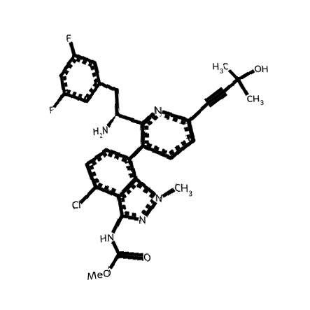 COC(=O)Nc1nn(C)c2c(-c3ccc(C#CC(C)(C)O)nc3[C@@H](N)Cc3cc(F)cc(F)c3)ccc(Cl)c12